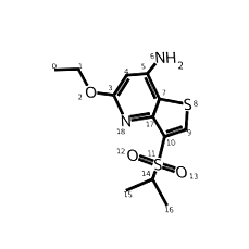 CCOc1cc(N)c2scc(S(=O)(=O)C(C)C)c2n1